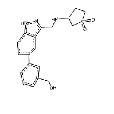 O=S1(=O)CCC(NCc2n[nH]c3ccc(-c4cncc(CO)c4)cc23)C1